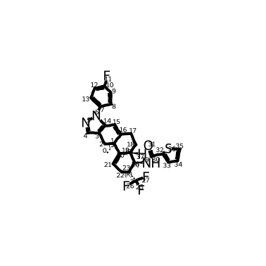 C[C@]12Cc3cnn(-c4ccc(F)cc4)c3C=C1CC[C@H]1C2=CC[C@@H](C(F)(F)F)[C@@H]1NC(=O)c1cccs1